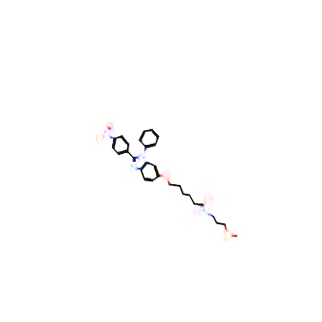 COCCCNC(=O)CCCCCOc1ccc2nc(-c3ccc([N+](=O)[O-])cc3)n(-c3ccccc3)c2c1